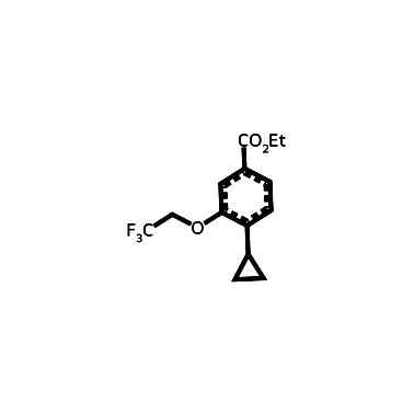 CCOC(=O)c1ccc(C2CC2)c(OCC(F)(F)F)c1